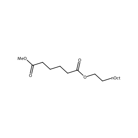 CCCCCCCCCCOC(=O)CCCCC(=O)OC